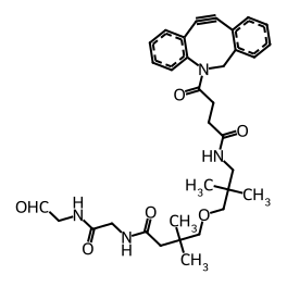 CC(C)(CNC(=O)CCC(=O)N1Cc2ccccc2C#Cc2ccccc21)COCC(C)(C)CC(=O)NCC(=O)NCC=O